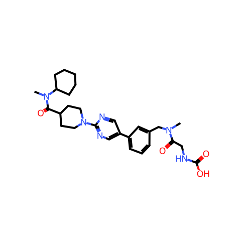 CN(Cc1cccc(-c2cnc(N3CCC(C(=O)N(C)C4CCCCC4)CC3)nc2)c1)C(=O)CNC(=O)O